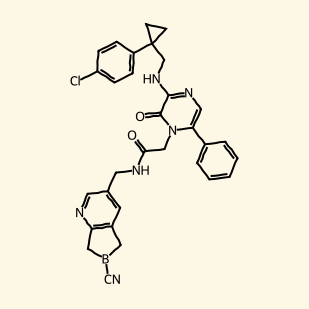 N#CB1Cc2cc(CNC(=O)Cn3c(-c4ccccc4)cnc(NCC4(c5ccc(Cl)cc5)CC4)c3=O)cnc2C1